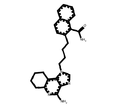 NC(=O)c1c(CCCCn2cnc3c(N)nc4c(c32)CCCC4)ccc2ccccc12